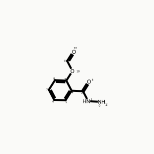 NNC(=O)c1ccccc1OC=O